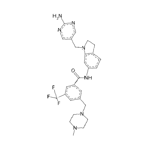 CN1CCN(Cc2cc(C(=O)Nc3ccc4c(c3)N(Cc3cnc(N)nc3)CC4)cc(C(F)(F)F)c2)CC1